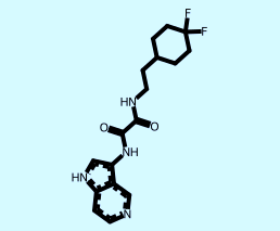 O=C(NCCC1CCC(F)(F)CC1)C(=O)Nc1c[nH]c2ccncc12